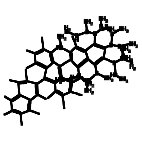 BBB(B)B(B(B)B)c1c(B(B(B)B)B(B)B)c(B(BB)B(B)B)c(B(B)B(B)B)c2c(B(B)BB)c(-c3c4c(C)c(C)c(C)c(C)c4c(-c4c(C)c(C)c5c(C)c(C)c(C)c(C)c5c4C)c4c(C)c(C)c(C)c(C)c34)c(BB)c(C)c12